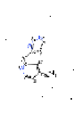 Cc1ccnc(Cc2ccncn2)c1